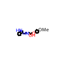 COc1ccc(OCC(O)CNCCc2c[nH]c3ccccc23)cc1